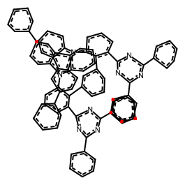 c1ccc(-c2ccc3c(c2)c2ccccc2n3-c2cccc(-c3nc(-c4ccccc4)nc(-c4ccccc4)n3)c2-c2cccc(-c3c(-c4nc(-c5ccccc5)nc(-c5ccccc5)n4)cccc3-n3c4ccccc4c4cc(-c5ccccc5)ccc43)c2)cc1